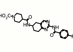 O=C(Nc1ncc2c(n1)CCC(NC(=O)C1CCN(C(=O)O)CC1)C2)c1ccc(F)cc1